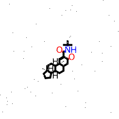 CC(C)(C)NC(=O)C1=C[C@@]2(C)C(CC[C@H]3[C@@H]4CCC[C@@]4(C)CC[C@@H]32)CC1=O